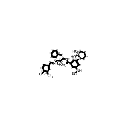 CCNc1cc(C(=O)N[C@@H](Cc2ccccc2)[C@@H](O)CNCc2ccc(Cl)c(C(F)(F)F)c2)cc(N2CCCCS2(O)O)c1